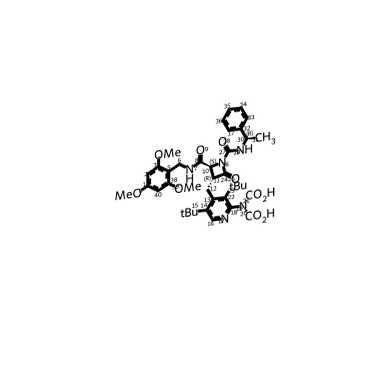 COc1cc(OC)c(CNC(=O)[C@@H]2[C@@H](Cc3c(C(C)(C)C)cnc(N(C(=O)O)C(=O)O)c3C(C)(C)C)C(=O)N2C(=O)N[C@H](C)c2ccccc2)c(OC)c1